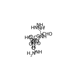 N=C(N)NCCC[C@@H](C=O)NC(=O)CNC(=O)[C@](CCC(=O)O)(Cc1cccc(C(=N)N)c1)NS(=O)(=O)Cc1ccccc1